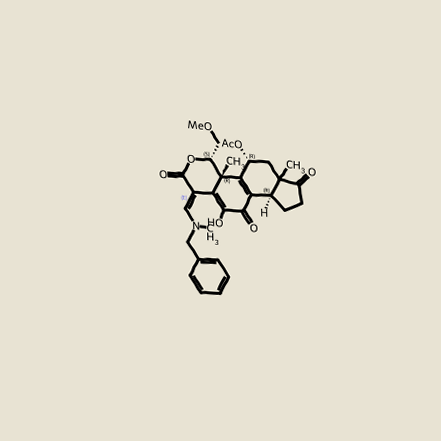 COC[C@H]1OC(=O)/C(=C/N(C)Cc2ccccc2)C2=C(O)C(=O)C3=C([C@H](OC(C)=O)CC4(C)C(=O)CC[C@@H]34)[C@]21C